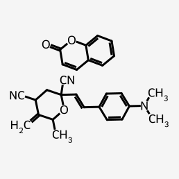 C=C1C(C#N)CC(C#N)(C=Cc2ccc(N(C)C)cc2)OC1C.O=c1ccc2ccccc2o1